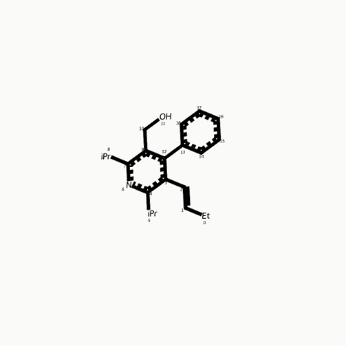 CC/C=C/c1c(C(C)C)nc(C(C)C)c(CO)c1-c1ccccc1